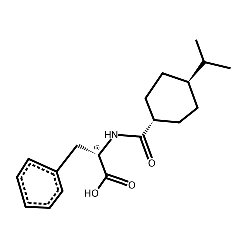 CC(C)[C@H]1CC[C@H](C(=O)N[C@@H](Cc2ccccc2)C(=O)O)CC1